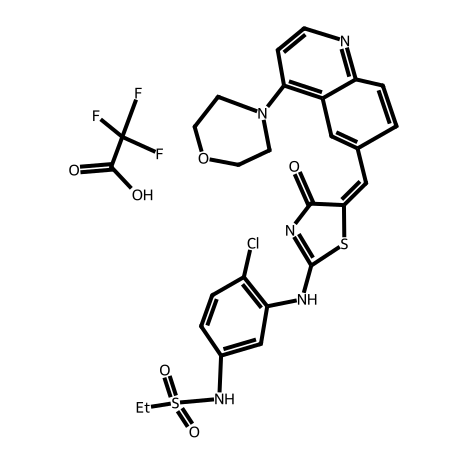 CCS(=O)(=O)Nc1ccc(Cl)c(NC2=NC(=O)C(=Cc3ccc4nccc(N5CCOCC5)c4c3)S2)c1.O=C(O)C(F)(F)F